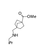 COC(=O)C12CCC(CNCC(C)C)(CC1)C2